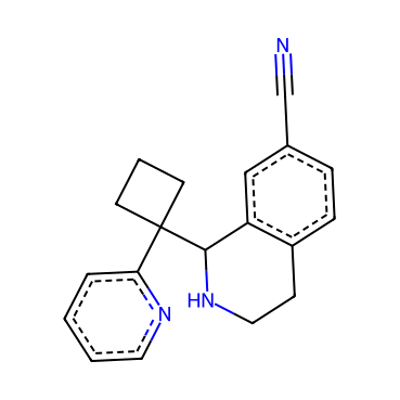 N#Cc1ccc2c(c1)C(C1(c3ccccn3)CCC1)NCC2